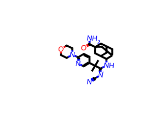 CC(C)(/C(=N\C#N)NC1C2CC3CC1CC(C(N)=O)(C3)C2)c1ccc(N2CCOCC2)nc1